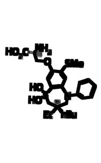 CCCC[C@]1(CC)CN(c2ccccc2)c2cc(SC)c(OC[C@@H](N)C(=O)O)cc2S(O)(O)C1